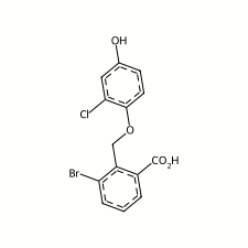 O=C(O)c1cccc(Br)c1COc1ccc(O)cc1Cl